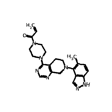 C=CC(=O)N1CCN(c2ncnc3c2CCN(c2c(C)ccc4[nH]ncc24)C3)CC1